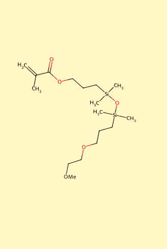 C=C(C)C(=O)OCCC[Si](C)(C)O[Si](C)(C)CCCOCCOC